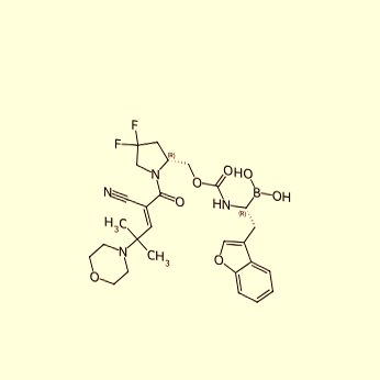 CC(C)(C=C(C#N)C(=O)N1CC(F)(F)C[C@@H]1COC(=O)N[C@@H](Cc1coc2ccccc12)B(O)O)N1CCOCC1